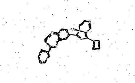 N[N+]12C=CN=CC1=C(C1=CC=C1)N=C2c1ccc2ncc(-c3ccccc3)nc2c1